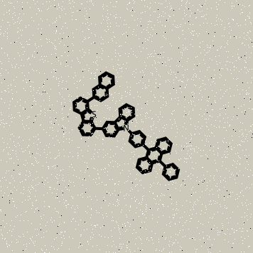 c1ccc(-c2c3ccccc3c(-c3ccc(-n4c5ccccc5c5cc(-c6cccc7c6sc6c(-c8ccc9ccccc9c8)cccc67)ccc54)cc3)c3ccccc23)cc1